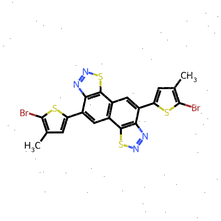 Cc1cc(-c2cc3c(cc(-c4cc(C)c(Br)s4)c4nnsc43)c3snnc23)sc1Br